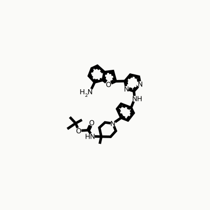 CC1(NC(=O)OC(C)(C)C)CCN(c2ccc(Nc3nccc(-c4cc5cccc(N)c5o4)n3)cc2)CC1